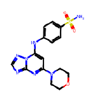 NS(=O)(=O)c1ccc(Nc2cc(N3CCOCC3)nc3ncnn23)cc1